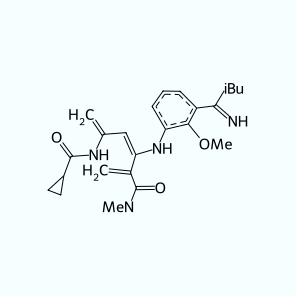 C=C(/C=C(/Nc1cccc(C(=N)C(C)CC)c1OC)C(=C)C(=O)NC)NC(=O)C1CC1